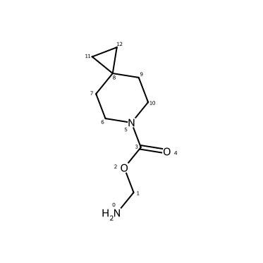 NCOC(=O)N1CCC2(CC1)CC2